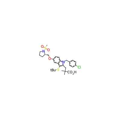 CC(C)(C)Sc1c(CC(C)(C)C(=O)O)n(Cc2ccc(Cl)cc2)c2ccc(OC[C@H]3CCCN3S(C)(=O)=O)cc12